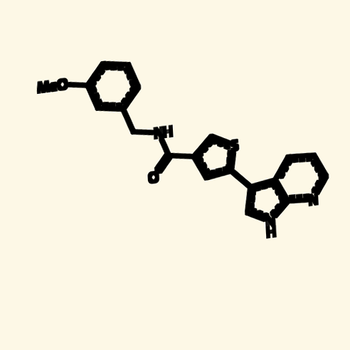 COc1cccc(CNC(=O)c2csc(-c3c[nH]c4ncccc34)c2)c1